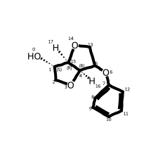 O[C@H]1CO[C@@H]2C(Oc3ccccc3)CO[C@@H]21